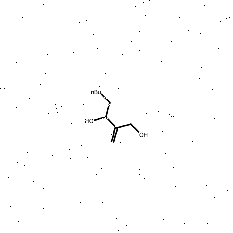 C=C(CO)C(O)CCCCC